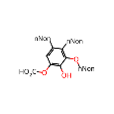 CCCCCCCCCOc1c(O)c(OC(=O)O)cc(CCCCCCCCC)c1CCCCCCCCC